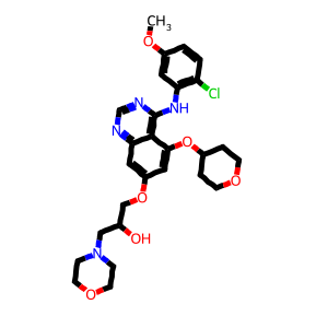 COc1ccc(Cl)c(Nc2ncnc3cc(OCC(O)CN4CCOCC4)cc(OC4CCOCC4)c23)c1